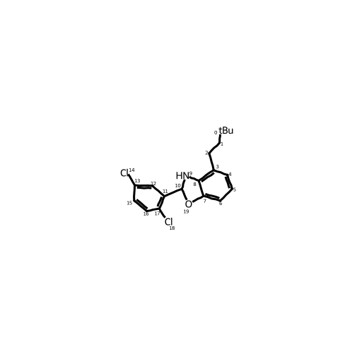 CC(C)(C)CCc1cccc2c1NC(c1cc(Cl)ccc1Cl)O2